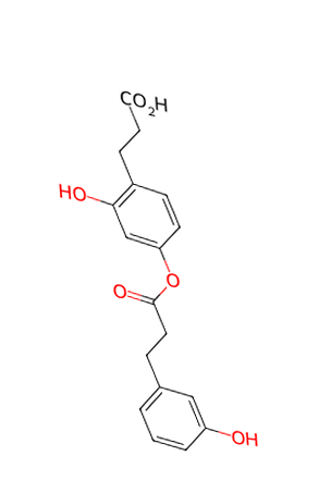 O=C(O)CCc1ccc(OC(=O)CCc2cccc(O)c2)cc1O